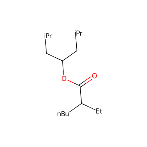 CCCCC(CC)C(=O)OC(CC(C)C)CC(C)C